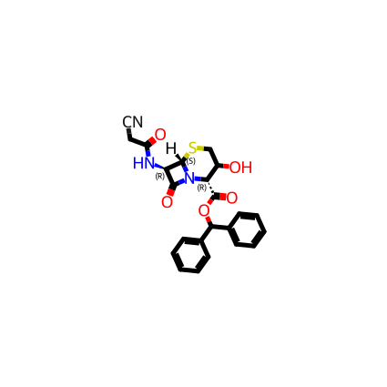 N#CCC(=O)N[C@@H]1C(=O)N2[C@@H](C(=O)OC(c3ccccc3)c3ccccc3)C(O)CS[C@@H]12